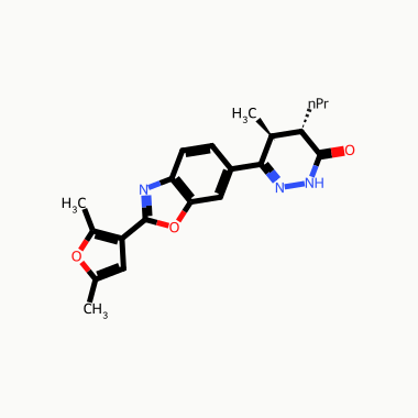 CCC[C@@H]1C(=O)NN=C(c2ccc3nc(-c4cc(C)oc4C)oc3c2)[C@H]1C